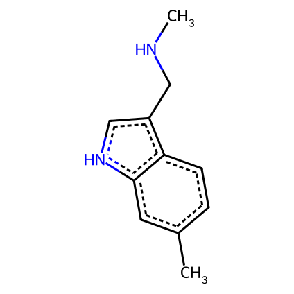 CNCc1c[nH]c2cc(C)ccc12